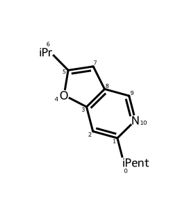 CCCC(C)c1cc2oc(C(C)C)cc2cn1